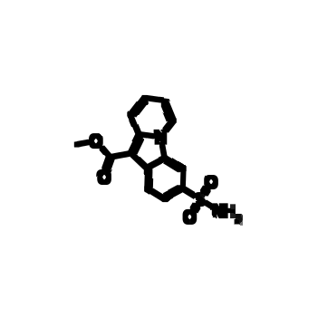 COC(=O)c1c2ccc(S(N)(=O)=O)cc2n2ccccc12